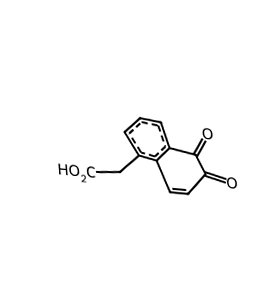 O=C(O)Cc1cccc2c1C=CC(=O)C2=O